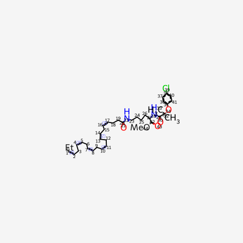 CC/C=C\C/C=C\C/C=C\C/C=C\C/C=C\C/C=C\CCC(=O)NCCCCC(NC(=O)C(C)(C)Oc1ccc(Cl)cc1)C(=O)OC